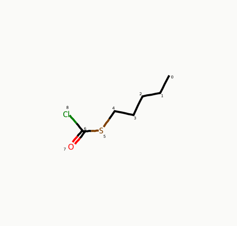 CCCCCSC(=O)Cl